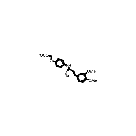 COc1ccc(C=CC(=O)Nc2ccc(OCC(=O)[O-])cc2)cc1OC.[Na+]